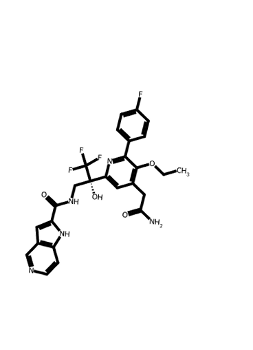 CCOc1c(CC(N)=O)cc([C@@](O)(CNC(=O)c2cc3cnccc3[nH]2)C(F)(F)F)nc1-c1ccc(F)cc1